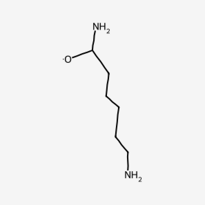 NCCCCCC(N)[O]